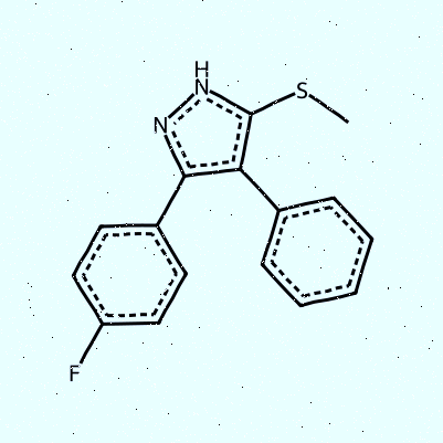 CSc1[nH]nc(-c2ccc(F)cc2)c1-c1ccccc1